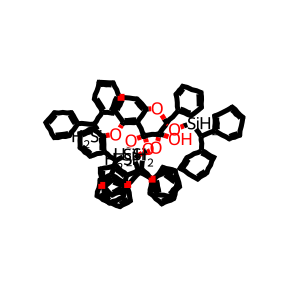 OC1(O[SiH2]C(c2ccccc2)c2ccccc2)C(O[SiH2]C(c2ccccc2)c2ccccc2)(c2ccccc2)Oc2cccc(O[SiH2]C(c3ccccc3)c3ccccc3)c2C1(O[SiH2]C(c1ccccc1)c1ccccc1)O[SiH2]C(c1ccccc1)c1ccccc1